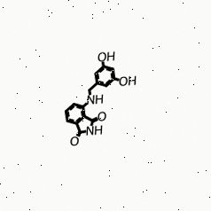 O=C1NC(=O)c2c(NCc3cc(O)cc(O)c3)cccc21